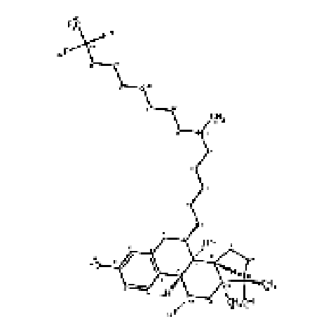 CN(CCCCC[C@@H]1Cc2cc(O)ccc2[C@@H]2[C@@H]1[C@@H]1CC[C@](C)(O)[C@@]1(C)C[C@@H]2F)CCCSCCCC(F)(F)C(F)(F)F